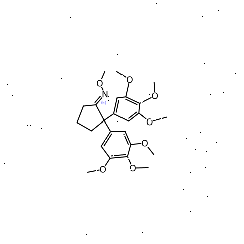 CO/N=C1\CCCC1(c1cc(OC)c(OC)c(OC)c1)c1cc(OC)c(OC)c(OC)c1